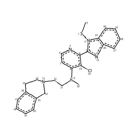 CSn1c(-c2nccc(N(C)CCN3CCc4ccccc4C3)c2Cl)nc2ccccc21